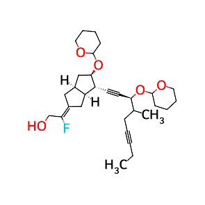 CCC#CCC(C)[C@@H](C#C[C@@H]1[C@H]2C/C(=C(\F)CO)C[C@H]2C[C@H]1OC1CCCCO1)OC1CCCCO1